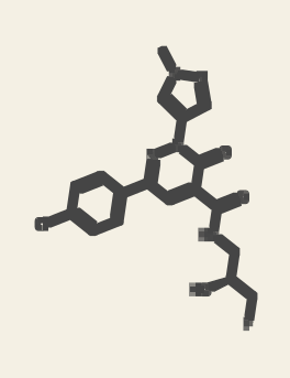 Cn1cc(-n2nc(-c3ccc(Cl)cc3)cc(C(=O)NC[C@H](O)CF)c2=O)cn1